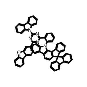 c1ccc(-n2c3ccccc3c3ccc4c(c32)-c2ccccc2C42c3ccccc3-c3ccccc32)c(-c2nc(-c3ccc4c(c3)oc3ccccc34)nc(-n3c4ccccc4c4ccccc43)n2)c1